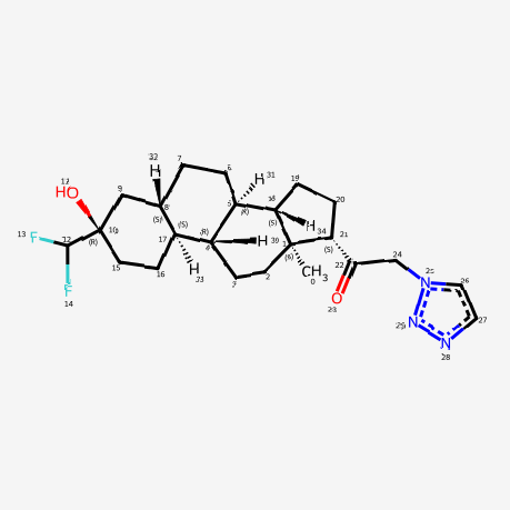 C[C@]12CC[C@H]3[C@@H](CC[C@H]4C[C@@](O)(C(F)F)CC[C@@H]43)[C@@H]1CC[C@@H]2C(=O)Cn1ccnn1